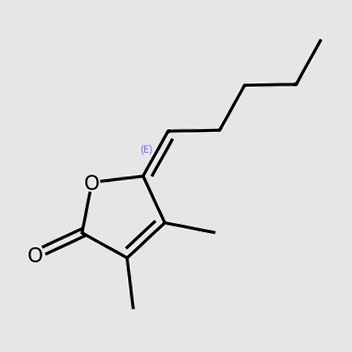 CCCC/C=C1/OC(=O)C(C)=C1C